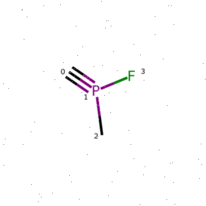 C#P(C)F